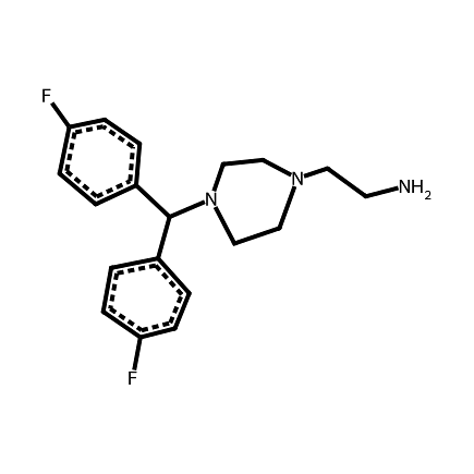 NCCN1CCN(C(c2ccc(F)cc2)c2ccc(F)cc2)CC1